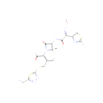 CON=C(C(=O)NC1C(=O)N2C(C(=O)O)=C(CSc3nnc(CN)s3)CS[C@@H]12)c1csc(N)n1.Cl.Cl